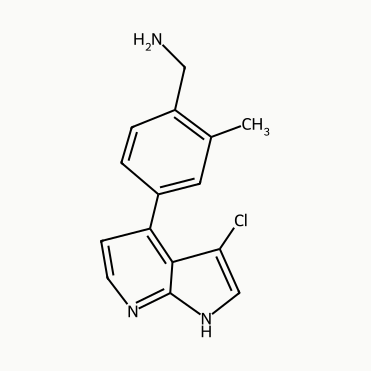 Cc1cc(-c2ccnc3[nH]cc(Cl)c23)ccc1CN